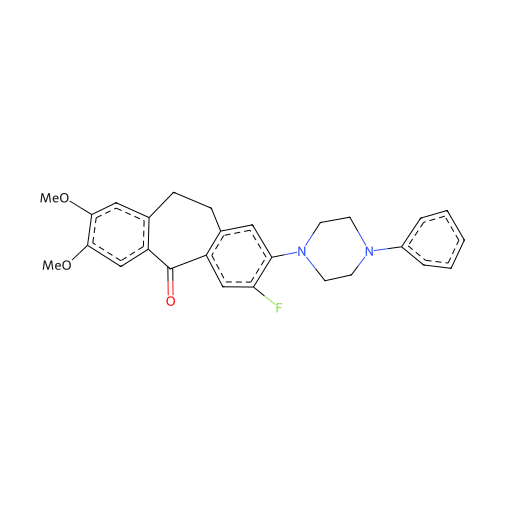 COc1cc2c(cc1OC)C(=O)c1cc(F)c(N3CCN(c4ccccc4)CC3)cc1CC2